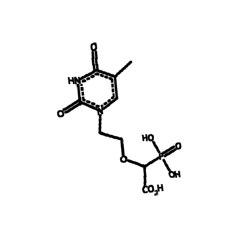 Cc1cn(CCOC(C(=O)O)P(=O)(O)O)c(=O)[nH]c1=O